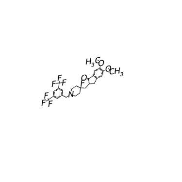 COc1cc2c(cc1OC)C(=O)C(CC1(F)CCN(Cc3cc(C(F)(F)F)cc(C(F)(F)F)c3)CC1)C2